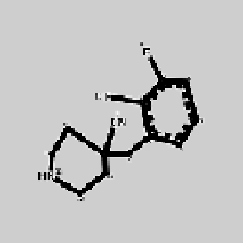 N#CC1(Cc2cccc(F)c2F)CCNCC1